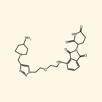 NC1CCN(Cc2cn(CCOCCNc3cccc4c3C(=O)N(C3CCC(=O)NC3=O)C4=O)nn2)CC1